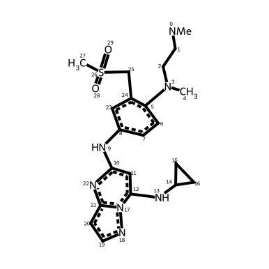 CNCCN(C)c1ccc(Nc2cc(NC3CC3)n3nccc3n2)cc1CS(C)(=O)=O